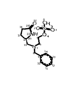 CS(=O)(=O)OCCN(Cc1ccccc1)C[C@H]1CCC(=O)N1